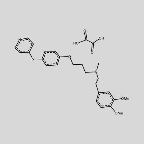 COc1ccc(CCN(C)CCCOc2ccc(Sc3ccncc3)cc2)cc1OC.O=C(O)C(=O)O